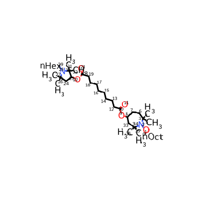 CCCCCCCCON1C(C)(C)CCC(OC(=O)CCCCCCCCC(=O)OC2CC(C)(C)N(CCCCCC)C2(C)C)CC1(C)C